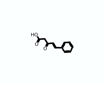 O=C(O)CC(=O)C=Cc1ccccc1